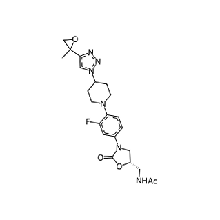 CC(=O)NC[C@H]1CN(c2ccc(N3CCC(n4cc(C5(C)CO5)nn4)CC3)c(F)c2)C(=O)O1